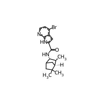 C[C@@H]1[C@@H](NC(=O)c2cc3c(Br)ccnc3[nH]2)C2C[C@@H]1C(C)(C)C2